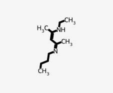 CCCCN=C(C)C=C(C)NCC